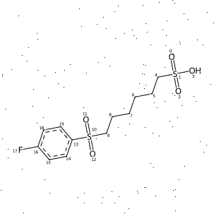 O=S(=O)(O)CCCCCCS(=O)(=O)c1ccc(F)cc1